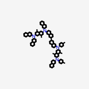 Cc1ccc(N(c2ccc3ccccc3c2)c2cc(C)c3cc(N(c4ccc(C)cc4)c4ccc5ccc(-c6ccc7ccc(N(c8ccc9ccccc9c8)c8cc(C)c9cc(N(c%10ccc%11ccccc%11c%10)c%10ccc%11ccccc%11c%10)cc(C)c9c8)cc7c6)cc5c4)cc(C)c3c2)cc1